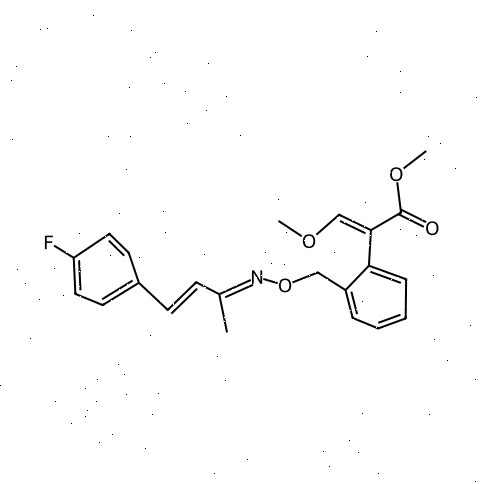 CO/C=C(/C(=O)OC)c1ccccc1CO/N=C(C)/C=C/c1ccc(F)cc1